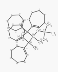 CC(C1=CCCCCC1)(C1=CCCCCC1)[Si](C)(O[Si](C)(C)C)C(C)(C1=CCCCCC1)C1=CCCCCC1